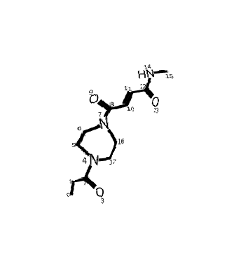 CCC(=O)N1CCN(C(=O)/C=C/C(=O)NC)CC1